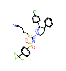 N#CCCC[S+]([O-])/C(=N\S(=O)(=O)c1ccc(C(F)(F)F)cc1)N1CCC(c2ccccc2)C(c2ccc(Cl)cc2)=N1